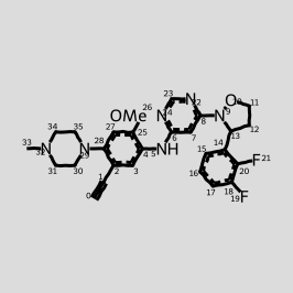 C#Cc1cc(Nc2cc(N3OCCC3c3cccc(F)c3F)ncn2)c(OC)cc1N1CCN(C)CC1